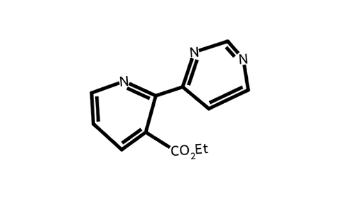 CCOC(=O)c1cccnc1-c1ccncn1